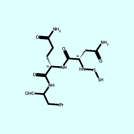 CC(C)CC(C=O)NC(=O)[C@H](CCC(N)=O)NC(=O)[C@H](CC(N)=O)NSS